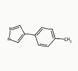 Cc1ccc(C2=C[N]N=C2)cc1